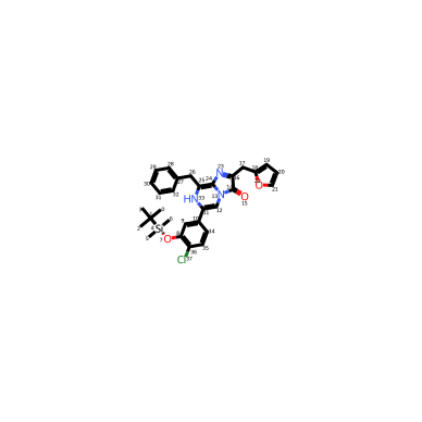 CC(C)(C)[Si](C)(C)Oc1cc(-c2cn3c(=O)c(Cc4ccco4)nc-3c(Cc3ccccc3)[nH]2)ccc1Cl